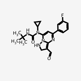 CC(C)(C)NC(=O)N(C1=CC(c2cccc(F)c2)=NC2=C(C=O)CNN12)C1CC1